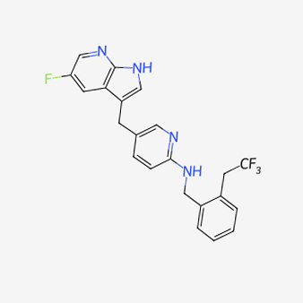 Fc1cnc2[nH]cc(Cc3ccc(NCc4ccccc4CC(F)(F)F)nc3)c2c1